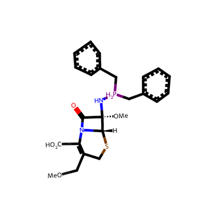 COCC1=C(C(=O)O)N2C(=O)[C@](N[PH2](Cc3ccccc3)Cc3ccccc3)(OC)[C@@H]2SC1